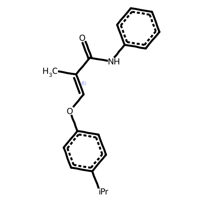 C/C(=C\Oc1ccc(C(C)C)cc1)C(=O)Nc1ccccc1